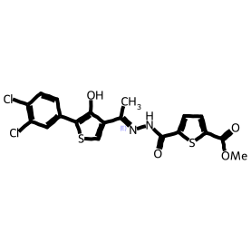 COC(=O)c1ccc(C(=O)N/N=C(\C)c2csc(-c3ccc(Cl)c(Cl)c3)c2O)s1